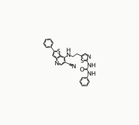 N#Cc1cnc2cc(-c3ccccc3)sc2c1NCCc1cnc(NC(=O)Nc2ccccc2)s1